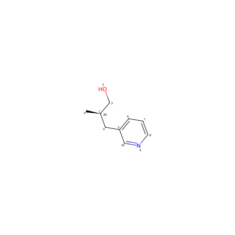 C[C@@H](CO)Cc1cccnc1